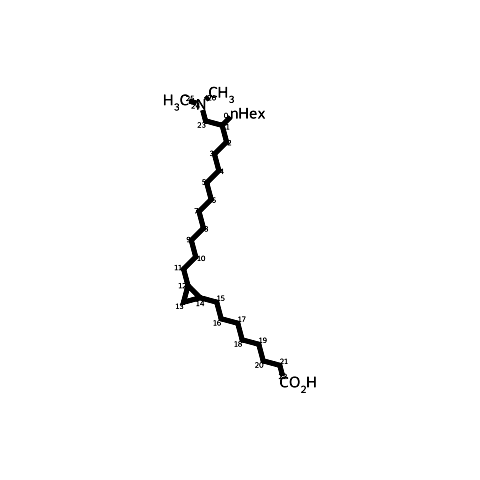 CCCCCCC(CCCCCCCCCCC1CC1CCCCCCCC(=O)O)CN(C)C